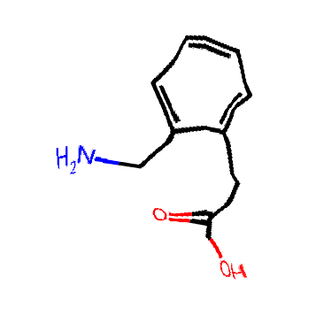 NCc1ccccc1CC(=O)O